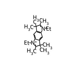 CC[N+]1=C(C)C(C)(C)c2cc3c(cc21)C(C)(C)C(C)=[N+]3CC